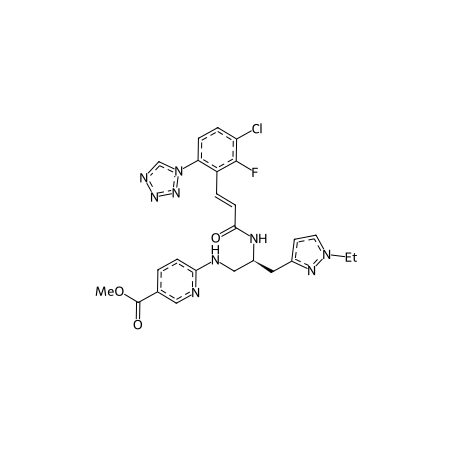 CCn1ccc(C[C@@H](CNc2ccc(C(=O)OC)cn2)NC(=O)/C=C/c2c(-n3cnnn3)ccc(Cl)c2F)n1